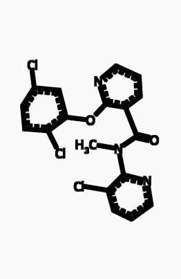 CN(C(=O)c1cccnc1Oc1cc(Cl)ccc1Cl)c1ncccc1Cl